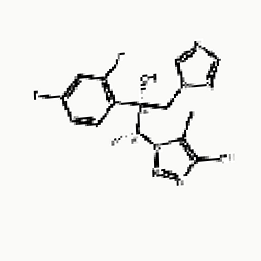 Cc1c(O)nnn1[C@H](C)[C@](O)(Cn1cncn1)c1ccc(F)cc1F